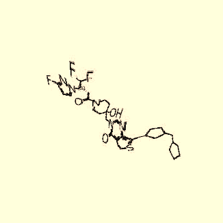 O=C(C[C@@H](C(F)F)n1ccc(F)n1)N1CCC(O)(Cn2cnc3c(C4CCC(CC5CCCC5)C4)scc3c2=O)CC1